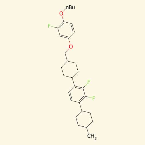 CCCCOc1ccc(OCC2CCC(c3ccc(C4CCC(C)CC4)c(F)c3F)CC2)cc1F